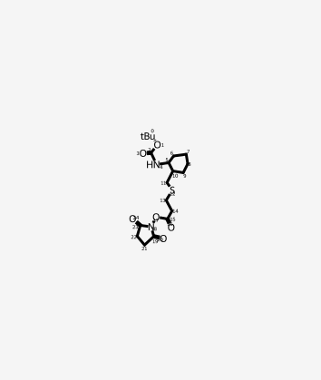 CC(C)(C)OC(=O)NC1CCCCC1CSCCC(=O)ON1C(=O)CCC1=O